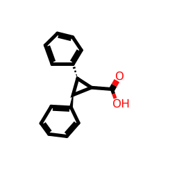 O=C(O)C1[C@@H](c2ccccc2)[C@@H]1c1ccccc1